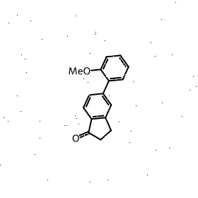 COc1ccccc1-c1ccc2c(c1)CCC2=O